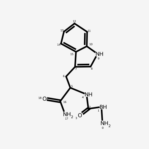 NBC(=O)NC(Cc1c[nH]c2ccccc12)C(N)=O